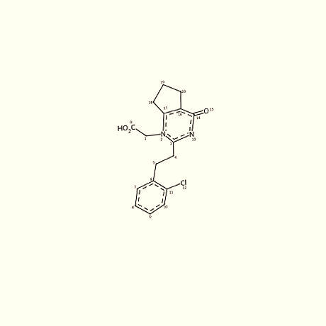 O=C(O)Cn1c(CCc2ccccc2Cl)nc(=O)c2c1CCC2